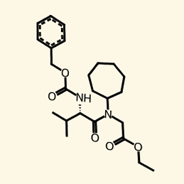 CCOC(=O)CN(C(=O)[C@@H](NC(=O)OCc1ccccc1)C(C)C)C1CCCCCC1